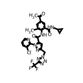 CC(=O)c1cc(C)c(NC(=O)c2cc(Cn3nnc(C(F)(F)F)n3)nn2-c2ncccc2Cl)c(C(=O)NC2CC2)c1